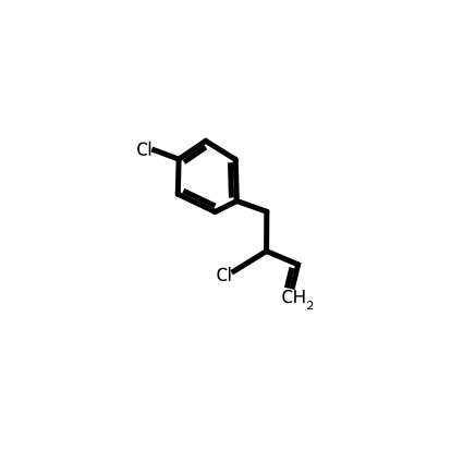 C=CC(Cl)Cc1ccc(Cl)cc1